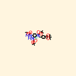 CCOC(=O)Nc1ccc(N(Cc2ccc(B3OC(C)(C)C(C)(C)O3)cc2)C(=O)OC(C)(C)C)c(F)c1NC(=O)OC(C)(C)C